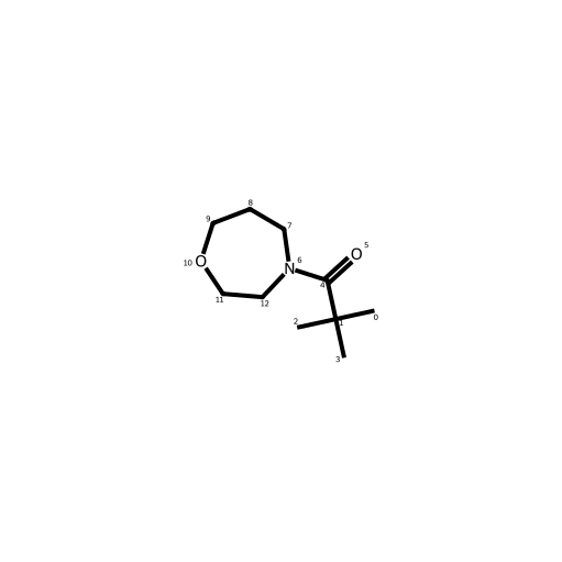 CC(C)(C)C(=O)N1CCCOCC1